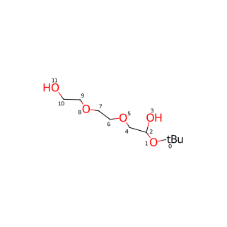 CC(C)(C)OC(O)COCCOCCO